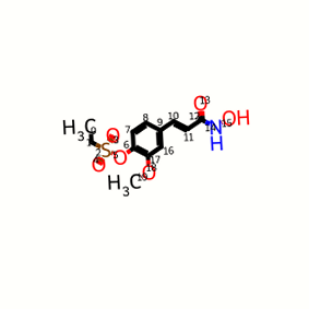 CCS(=O)(=O)Oc1ccc(C=CC(=O)NO)cc1OC